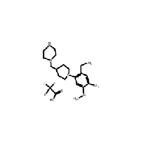 CCc1cc(N)c(OC)cc1N1CCC(CN2CCNCC2)CC1.O=C(O)C(F)(F)F